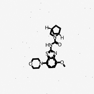 COc1ccc(N2CCOCC2)c2sc(NC(=O)N3C[C@@H]4CC[C@H]3C4)nc12